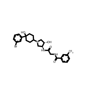 O=C(CNC(=O)c1cccc(C(F)(F)F)c1)N[C@H]1CN(C2CCC(O)(c3cccc(Br)c3)CC2)C[C@@H]1O